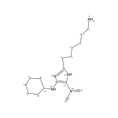 NCCCCCCc1nc(NC2CCCCC2)c([N+](=O)[O-])[nH]1